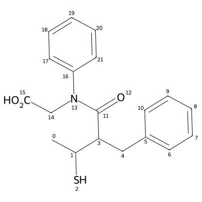 CC(S)C(Cc1ccccc1)C(=O)N(CC(=O)O)c1ccccc1